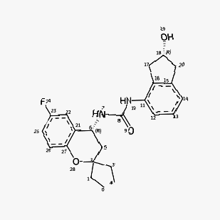 CCC1(CC)C[C@@H](NC(=O)Nc2cccc3c2C[C@H](O)C3)c2cc(F)ccc2O1